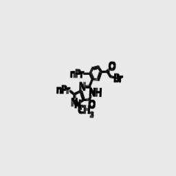 CCCc1ccc(C(=O)CBr)cc1-c1nc2c(CCC)nn(C)c2c(=O)[nH]1